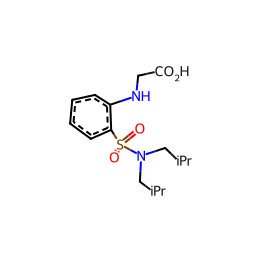 CC(C)CN(CC(C)C)S(=O)(=O)c1ccccc1NCC(=O)O